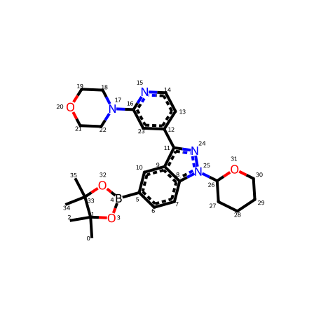 CC1(C)OB(c2ccc3c(c2)c(-c2ccnc(N4CCOCC4)c2)nn3C2CCCCO2)OC1(C)C